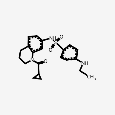 CCNc1ccc(S(=O)(=O)Nc2ccc3c(c2)N(C(=O)C2CC2)CCC3)cc1